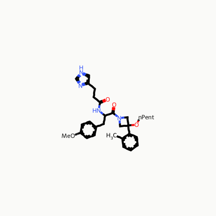 CCCCCOC1(c2ccccc2C)CN(C(=O)C(Cc2ccc(OC)cc2)NC(=O)CCc2c[nH]cn2)C1